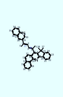 C/C(=C\C=C(/C)c1c2c(nc3c1ccc1ccccc13)-c1ccccc1C2(C)C)c1cnc2ccccc2c1